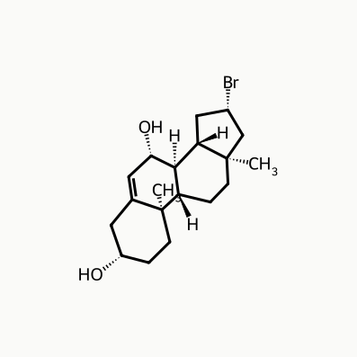 C[C@]12CC[C@H]3[C@@H]([C@@H](O)C=C4C[C@@H](O)CC[C@@]43C)[C@@H]1C[C@H](Br)C2